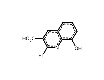 CCc1nc2c(O)cccc2cc1C(=O)O